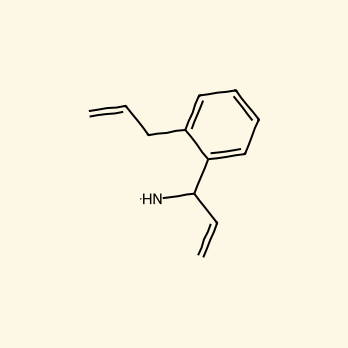 C=CCc1ccccc1C([NH])C=C